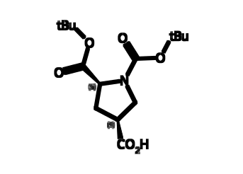 CC(C)(C)OC(=O)[C@@H]1C[C@H](C(=O)O)CN1C(=O)OC(C)(C)C